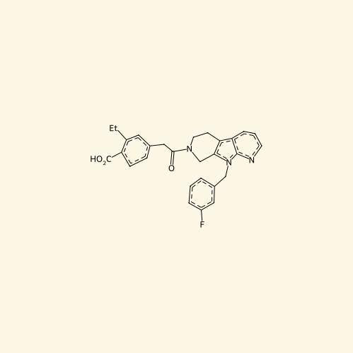 CCc1cc(CC(=O)N2CCc3c(n(Cc4cccc(F)c4)c4ncccc34)C2)ccc1C(=O)O